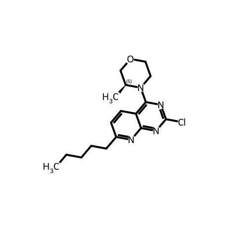 CCCCCc1ccc2c(N3CCOC[C@@H]3C)nc(Cl)nc2n1